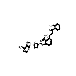 NC(=O)c1c(CCC(=O)c2ccccc2C(=O)O)cccc1OC[C@@H]1CC[C@H](n2cnc3c(N)ncnc32)O1